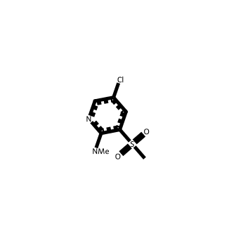 CNc1ncc(Cl)cc1S(C)(=O)=O